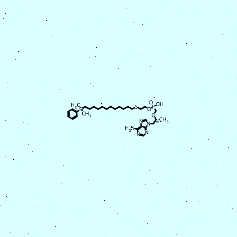 C[C@H](Cn1cnc2c(N)ncnc21)OCP(=O)(O)OCCSCCCCCCCCCCCC[Si](C)(C)c1ccccc1